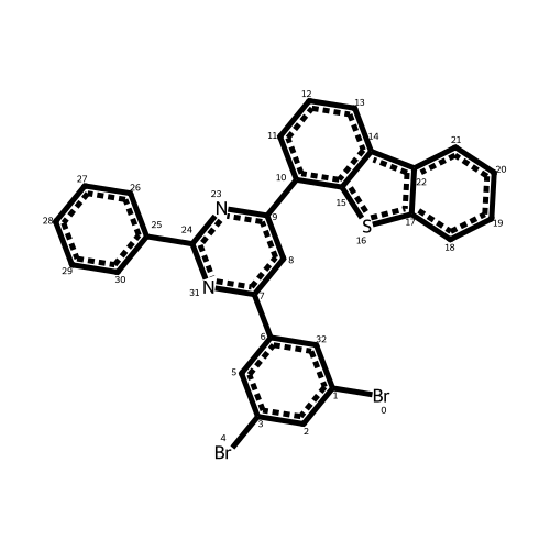 Brc1cc(Br)cc(-c2cc(-c3cccc4c3sc3ccccc34)nc(-c3ccccc3)n2)c1